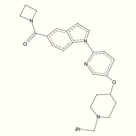 CC(C)CN1CCC(Oc2ccc(-n3ccc4cc(C(=O)N5CCC5)ccc43)nc2)CC1